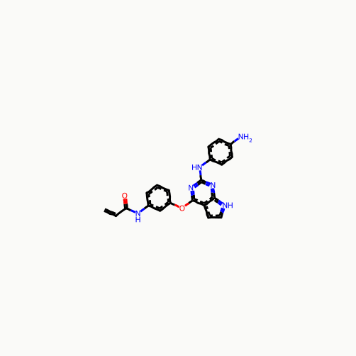 C=CC(=O)Nc1cccc(Oc2nc(Nc3ccc(N)cc3)nc3[nH]ccc23)c1